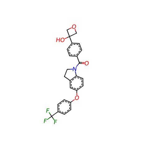 O=C(c1ccc(C2(O)COC2)cc1)N1CCc2cc(Oc3ccc(C(F)(F)F)cc3)ccc21